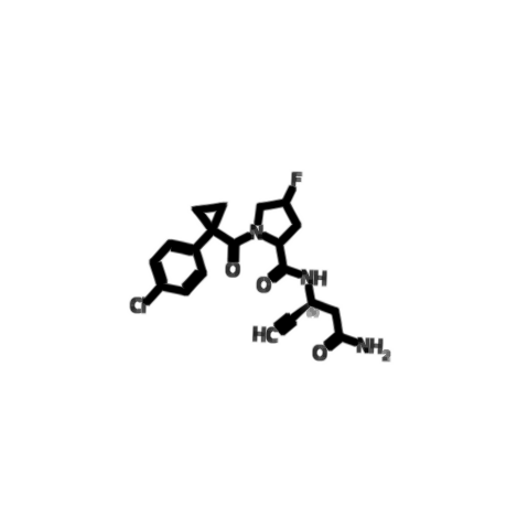 C#C[C@H](CC(N)=O)NC(=O)C1CC(F)CN1C(=O)C1(c2ccc(Cl)cc2)CC1